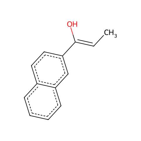 CC=C(O)c1ccc2ccccc2c1